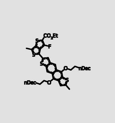 CCCCCCCCCCCCOc1c2cc3sc(-c4sc(C)c5sc(C(=O)OCC)c(F)c45)cc3cc2c(OCCCCCCCCCCCC)c2sc(C)cc12